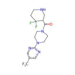 O=C(C1CNCCC1(F)F)N1CCN(c2ncc(C(F)(F)F)cn2)CC1